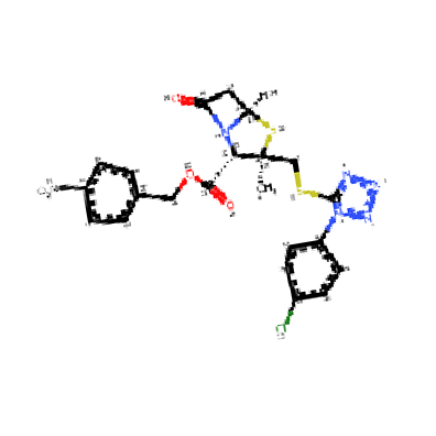 C[C@@]1(CSc2nnnn2-c2ccc(Cl)cc2)S[C@@H]2CC(=O)N2[C@H]1C(=O)OCc1ccc([N+](=O)[O-])cc1